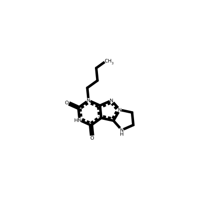 CCCCn1c(=O)[nH]c(=O)c2c3n(nc21)CCN3